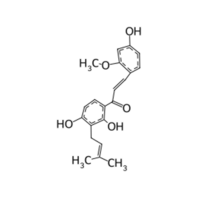 COc1cc(O)ccc1/C=C/C(=O)c1ccc(O)c(CC=C(C)C)c1O